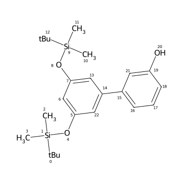 CC(C)(C)[Si](C)(C)Oc1cc(O[Si](C)(C)C(C)(C)C)cc(-c2cccc(O)c2)c1